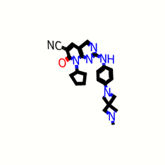 CN1CC2(C1)CN(c1ccc(Nc3ncc4cc(C#N)c(=O)n(C5CCCC5)c4n3)cc1)C2